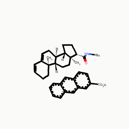 CC(C)(C)NC(=O)[C@H]1CC[C@H]2[C@@H]3CC=C4C=CCC[C@]4(C)[C@H]3CC[C@]12C.O=C(O)c1ccc2cc3ccccc3cc2c1